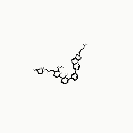 COC1N=C(c2cccc(-c3cccc(-c4ccn5c(=O)c(CNCCO)cnc5c4)c3)c2Cl)C=CC1CNC[C@@H]1CCC(=O)N1